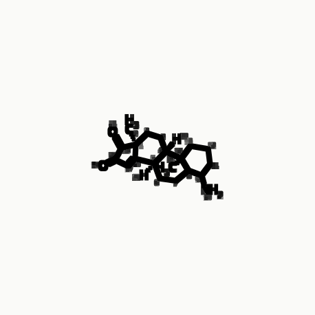 C[C@]12CC[C@H]3[C@@H](CCC4C(N)CCC[C@@]43C)C1=CC(=O)C2=O